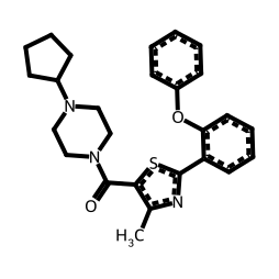 Cc1nc(-c2ccccc2Oc2ccccc2)sc1C(=O)N1CCN(C2CCCC2)CC1